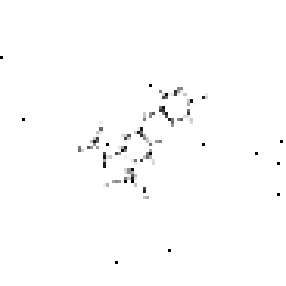 CC(=O)Nc1cc(Sc2ccc(C)cc2)ccc1[N+](=O)[O-]